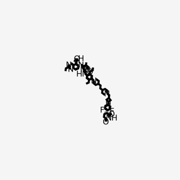 CCOc1cc(N2CCC(CCC3CCN(CC4CN(c5cc(F)c([C@H]6CCC(=O)NC6=O)c(F)c5)C4)CC3)CC2)c(CC)cc1Nc1ncc(C)c(Nc2ccc3nc(CC)ncc3c2P(C)(C)=O)n1